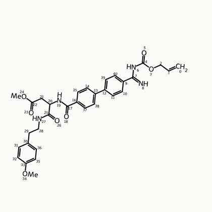 C=CCOC(=O)NC(=N)c1ccc(-c2ccc(C(=O)NC(CC(=O)OC)C(=O)NCCc3ccc(OC)cc3)cc2)cc1